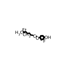 CCC(C)(C)CCCCCCCOc1ccc(O)c(F)c1